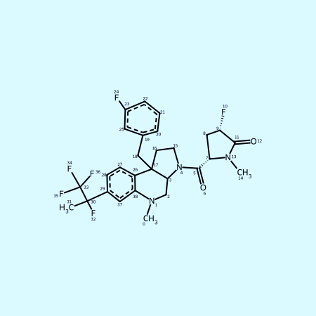 CN1CC2N(C(=O)[C@@H]3C[C@H](F)C(=O)N3C)CCC2(Cc2cccc(F)c2)c2ccc(C(C)(F)C(F)(F)F)cc21